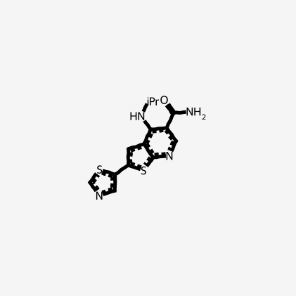 CC(C)Nc1c(C(N)=O)cnc2sc(-c3cncs3)cc12